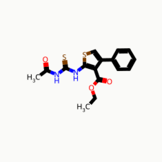 CCOC(=O)c1c(-c2ccccc2)csc1NC(=S)NC(C)=O